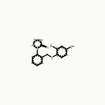 O=c1[nH]nnn1-c1ccccc1COc1ccc(O)cc1Br